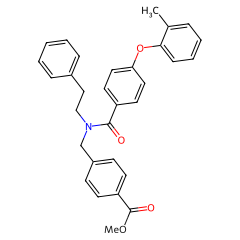 COC(=O)c1ccc(CN(CCc2ccccc2)C(=O)c2ccc(Oc3ccccc3C)cc2)cc1